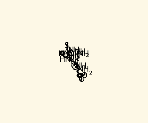 COc1ccc(CC(N)C(=O)N[C@H](CCCNC(=N)N)C(=O)NCC(=O)NC(Cc2ccccc2)C(=O)NC(CCSC)C(N)=O)cc1OC